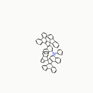 c1ccc(N(c2cc3c(c4ccccc24)-c2c(c4ccccc4c4ccccc24)C32c3ccccc3-c3ccccc32)c2cc3c(c4ccccc24)-c2c(c4ccccc4c4ccccc24)C32c3ccccc3-c3ccccc32)cc1